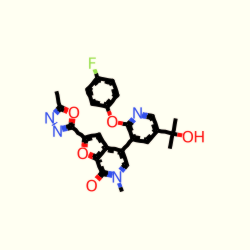 Cc1nnc(-c2cc3c(-c4cc(C(C)(C)O)cnc4Oc4ccc(F)cc4)cn(C)c(=O)c3o2)o1